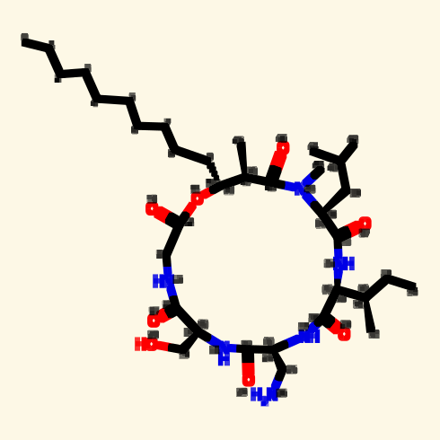 CCCCCCCCCC[C@H]1OC(=O)CNC(=O)[C@H](CO)NC(=O)[C@H](CN)NC(=O)[C@H]([C@H](C)CC)NC(=O)[C@H](CC(C)C)N(C)C(=O)[C@@H]1C